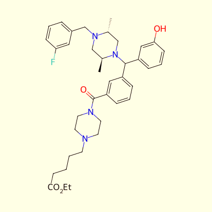 CCOC(=O)CCCCN1CCN(C(=O)c2cccc(C(c3cccc(O)c3)N3C[C@@H](C)N(Cc4cccc(F)c4)C[C@@H]3C)c2)CC1